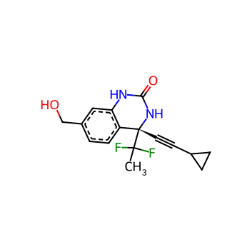 CC(F)(F)[C@@]1(C#CC2CC2)NC(=O)Nc2cc(CO)ccc21